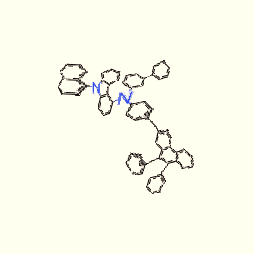 c1ccc(-c2cccc(N(c3ccc(-c4ccc5c(c4)c(-c4ccccc4)c(-c4ccccc4)c4ccccc45)cc3)c3cccc4c3c3ccccc3n4-c3cccc4ccccc34)c2)cc1